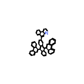 c1ccc2c(c1)cc(-c1c3ccccc3c(-c3cc4ccccc4c4ccccc34)c3cc(-c4cc5ncccc5c5ccccc45)ccc13)c1ccccc12